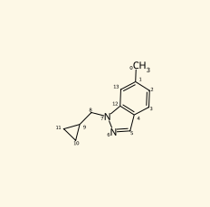 Cc1ccc2cnn(CC3CC3)c2c1